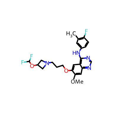 COc1cc2ncnc(Nc3ccc(F)c(C)c3)c2cc1OCCCN1CC(OC(F)F)C1